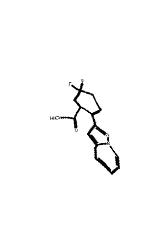 O=C(O)C1CC(F)(F)CCC1c1cc2ccccn2n1